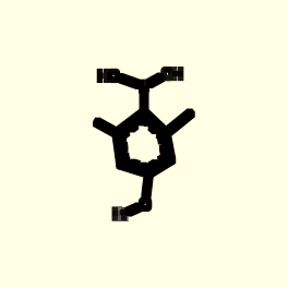 CCOc1cc(C)c(B(O)O)c(C)c1